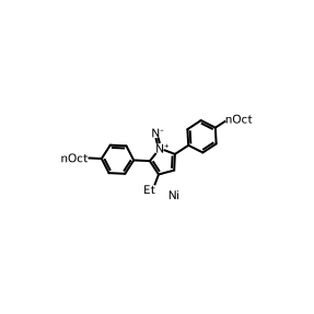 CCCCCCCCc1ccc(C2=CC(CC)=C(c3ccc(CCCCCCCC)cc3)[N+]2=[N-])cc1.[Ni]